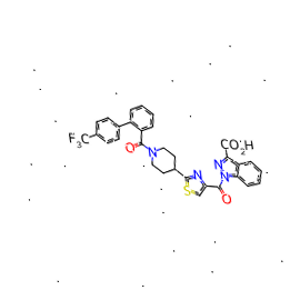 O=C(O)c1nn(C(=O)c2csc(C3CCN(C(=O)c4ccccc4-c4ccc(C(F)(F)F)cc4)CC3)n2)c2ccccc12